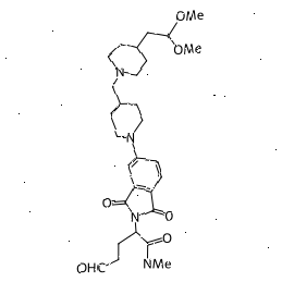 CNC(=O)C(CCC=O)N1C(=O)c2ccc(N3CCC(CN4CCC(CC(OC)OC)CC4)CC3)cc2C1=O